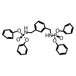 O=P(NCc1cccc(CNP(=O)(Oc2ccccc2)Oc2ccccc2)c1)(Oc1ccccc1)Oc1ccccc1